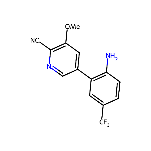 COc1cc(-c2cc(C(F)(F)F)ccc2N)cnc1C#N